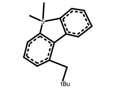 CC(C)(C)Cc1cccc2c1-c1ccccc1S2(C)C